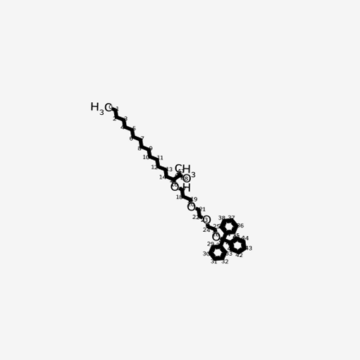 CCCCCCCCCCCCCCCC(OCCCOCCOCCOC(c1ccccc1)(c1ccccc1)c1ccccc1)C(C)O